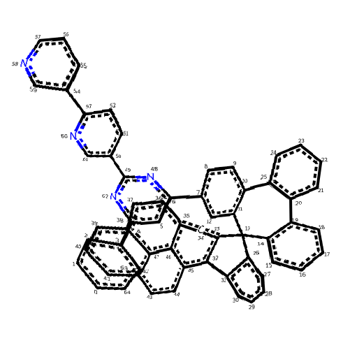 c1ccc(-c2cc(-c3ccc4c(c3)C3(c5ccccc5-c5ccccc5-4)c4ccccc4-c4c3cc3ccc5cccc6ccc4c3c56)nc(-c3ccc(-c4cccnc4)nc3)n2)cc1